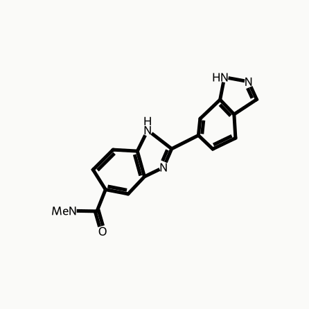 CNC(=O)c1ccc2[nH]c(-c3ccc4cn[nH]c4c3)nc2c1